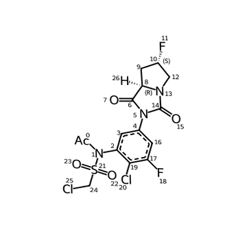 CC(=O)N(c1cc(N2C(=O)[C@H]3C[C@H](F)CN3C2=O)cc(F)c1Cl)S(=O)(=O)CCl